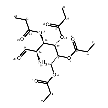 CCC(=O)OC[C@@H](OC(=O)CC)[C@@H](OC(=O)CC)[C@H](OC(=O)CC)[C@@H](N)C=O